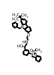 CC(C)(C)c1ccc2c3ccc(OCCNC[C@H](O)c4cccc(N(Cc5ccccc5)S(C)(=O)=O)c4)cc3n(Cc3ccccc3)c2c1